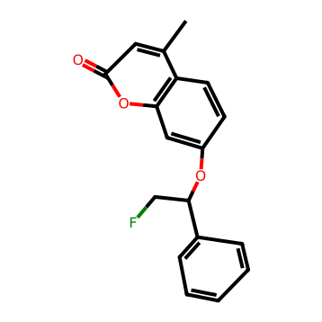 Cc1cc(=O)oc2cc(OC(CF)c3ccccc3)ccc12